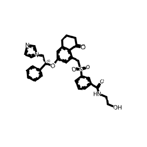 O=C(NCCO)c1cccc(S(=O)(=O)Cc2cc(O[C@H](Cn3ccnc3)c3ccccc3)cc3c2C(=O)CCC3)c1